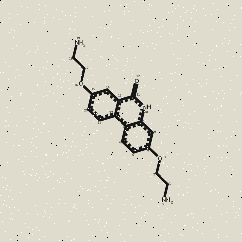 NCCOc1ccc2c(c1)[nH]c(=O)c1cc(OCCN)ccc12